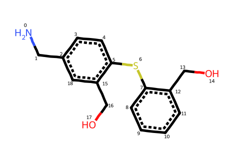 NCc1ccc(Sc2ccccc2CO)c(CO)c1